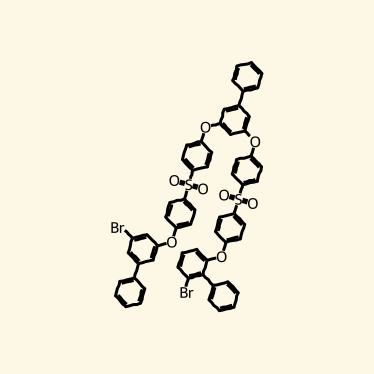 O=S(=O)(c1ccc(Oc2cc(Br)cc(-c3ccccc3)c2)cc1)c1ccc(Oc2cc(Oc3ccc(S(=O)(=O)c4ccc(Oc5cccc(Br)c5-c5ccccc5)cc4)cc3)cc(-c3ccccc3)c2)cc1